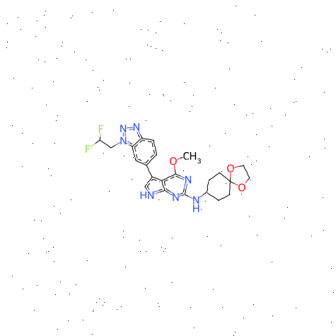 COc1nc(NC2CCC3(CC2)OCCO3)nc2[nH]cc(-c3ccc4nnn(CC(F)F)c4c3)c12